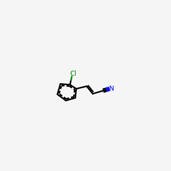 N#CC=Cc1ccccc1Cl